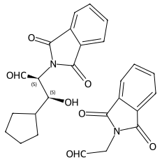 O=CCN1C(=O)c2ccccc2C1=O.O=C[C@H]([C@@H](O)C1CCCC1)N1C(=O)c2ccccc2C1=O